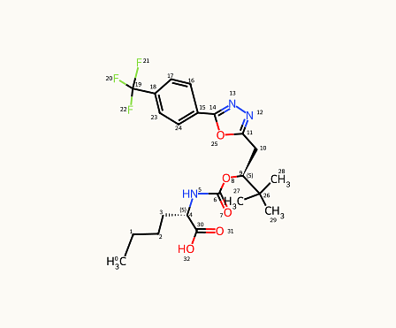 CCCC[C@H](NC(=O)O[C@@H](Cc1nnc(-c2ccc(C(F)(F)F)cc2)o1)C(C)(C)C)C(=O)O